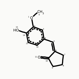 COc1cc(C=C2CCCC2=O)ccc1O